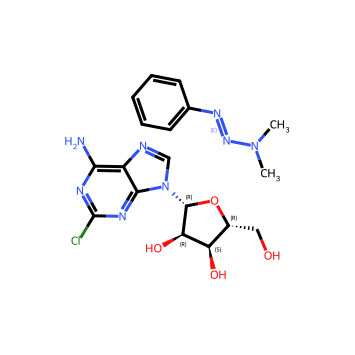 CN(C)/N=N/c1ccccc1.Nc1nc(Cl)nc2c1ncn2[C@@H]1O[C@H](CO)[C@@H](O)[C@H]1O